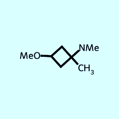 CNC1(C)CC(OC)C1